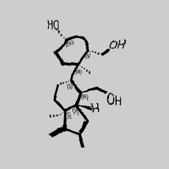 C=C1C(C)=C[C@H]2[C@H](CO)[C@@H]([C@@]3(C)CC[C@H](O)C[C@@H]3CO)CC[C@]12C